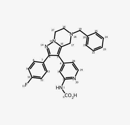 O=C(O)Nc1cc(-c2c(-c3ccc(F)cc3)nn3c2CN(Cc2ccccc2)CC3)ccn1